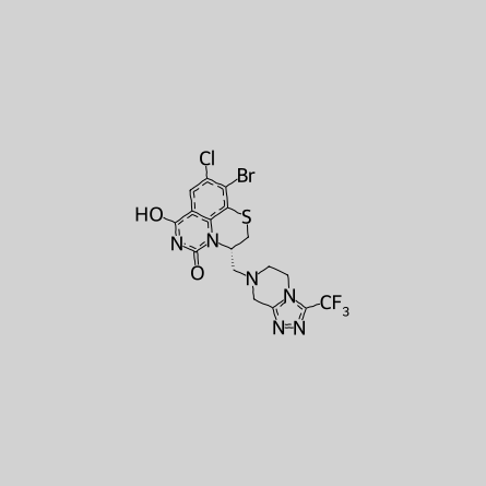 O=c1nc(O)c2cc(Cl)c(Br)c3c2n1[C@@H](CN1CCn2c(nnc2C(F)(F)F)C1)CS3